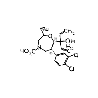 C=CC(O)(C=C)[C@@H]1OC(C(C)(C)C)CN(C(=O)O)C[C@H]1c1ccc(Cl)c(Cl)c1